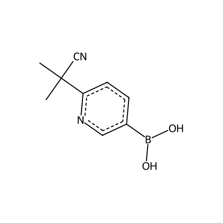 CC(C)(C#N)c1ccc(B(O)O)cn1